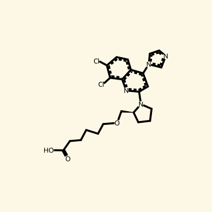 O=C(O)CCCCCOC[C@@H]1CCCN1c1cc(-n2ccnc2)c2ccc(Cl)c(Cl)c2n1